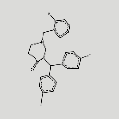 O=C1CCN(Cc2ccccc2F)CC1C(c1ccc(F)cc1)c1ccc(F)cc1